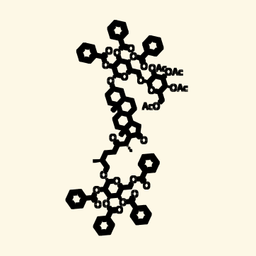 CC(=O)OCC1O[C@@H](OCC2O[C@@H](OC3CCC4(C)C(CCC5C4CCC4(C)C5CC(=O)C4[C@H](C)C(=O)CC[C@H](C)CO[C@@H]4OC(COC(=O)c5ccccc5)[C@@H](OC(=O)c5ccccc5)[C@H](OC(=O)c5ccccc5)C4OC(=O)c4ccccc4)C3)C(OC(=O)c3ccccc3)C(OC(=O)c3ccccc3)[C@@H]2OC(=O)c2ccccc2)C(OC(C)=O)C(OC(C)=O)[C@@H]1OC(C)=O